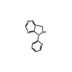 c1ccc(N2NCc3cncnc32)nc1